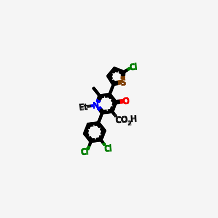 CCn1c(C)c(-c2ccc(Cl)s2)c(=O)c(C(=O)O)c1-c1ccc(Cl)c(Cl)c1